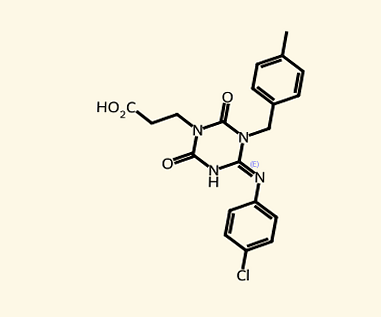 Cc1ccc(Cn2c(=O)n(CCC(=O)O)c(=O)[nH]/c2=N\c2ccc(Cl)cc2)cc1